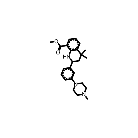 COC(=O)c1cccc2c1NC(c1cccc(N3CCN(C)CC3)c1)CC2(C)C